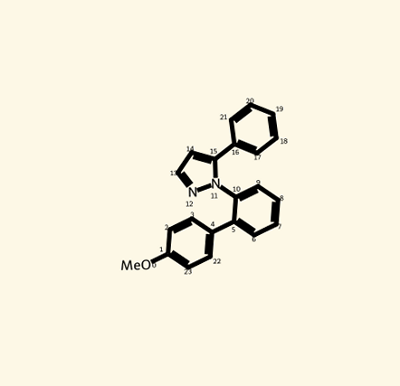 COc1ccc(-c2ccccc2-n2nccc2-c2ccccc2)cc1